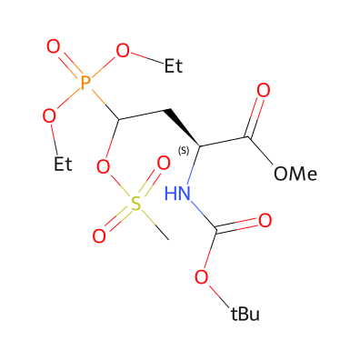 CCOP(=O)(OCC)C(C[C@H](NC(=O)OC(C)(C)C)C(=O)OC)OS(C)(=O)=O